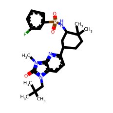 Cn1c(=O)n(CC(C)(C)C)c2ccc(C3CCC(C)(C)C(NS(=O)(=O)c4cccc(F)c4)C3)nc21